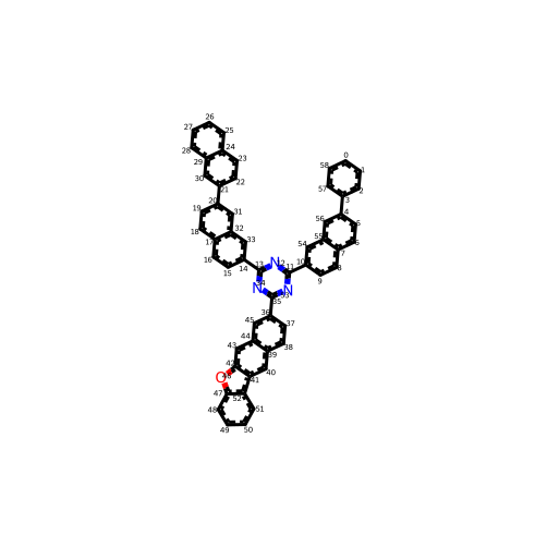 c1ccc(-c2ccc3ccc(-c4nc(-c5ccc6ccc(-c7ccc8ccccc8c7)cc6c5)nc(-c5ccc6cc7c(cc6c5)oc5ccccc57)n4)cc3c2)cc1